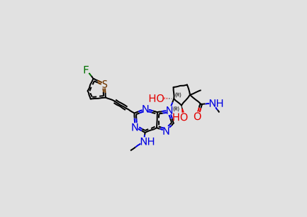 CNC(=O)C1(C)CC[C@](O)(n2cnc3c(NC)nc(C#Cc4ccc(F)s4)nc32)[C@@H]1O